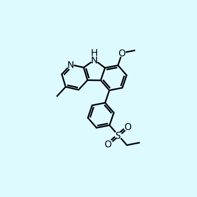 CCS(=O)(=O)c1cccc(-c2ccc(OC)c3[nH]c4ncc(C)cc4c23)c1